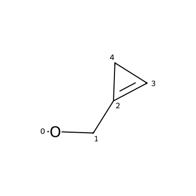 [O]CC1=CC1